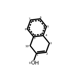 OC1=CCc2ccccc2[CH]1